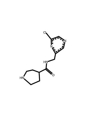 O=C(NCc1cncc(Cl)n1)C1CCNCC1